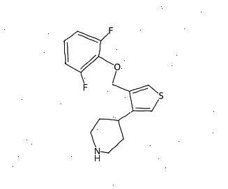 Fc1cccc(F)c1OCc1cscc1C1CCNCC1